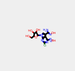 NC(=NO)c1cn(C2OC(CO)C(O)C2O)c2nc(Cl)nc(NO)c12